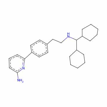 Nc1cccc(-c2ccc(CCNC(C3CCCCC3)C3CCCCC3)cc2)n1